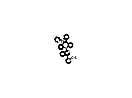 CN1CC=CC=C1c1cnc(N2c3ccccc3-c3c(n(C4=CC=CCN4)c4ccccc34)-c3ccccc32)c2ccccc12